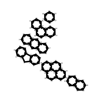 [CH]1c2ccccc2-c2ccccc21.[c]1c2ccccc2cc2ccccc12.[c]1ccc2ccc3cccc4ccc1c2c43.[c]1cccc2c1ccc1ccccc12.[c]1ccccc1.c1ccc2ccccc2c1